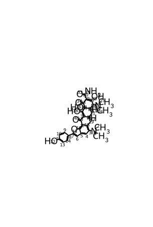 CN(C)c1cc2cc(-c3ccc(O)cc3)oc2c2c1C[C@H]1C[C@H]3[C@H](N(C)C)C(O)=C(C(N)=O)C(=O)[C@@]3(O)C(O)=C1C2=O